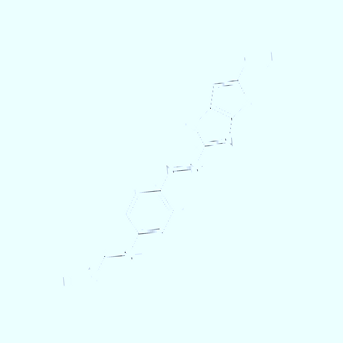 O=C(O)c1cc2sc(N=Nc3ccc(NCS(=O)(=O)O)cc3)nc2s1